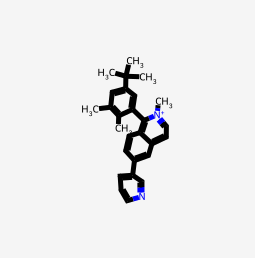 Cc1cc(C(C)(C)C)cc(-c2c3ccc(-c4cccnc4)cc3cc[n+]2C)c1C